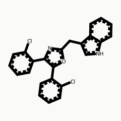 Clc1ccccc1-c1nc(Cc2c[nH]c3ccccc23)oc1-c1ccccc1Cl